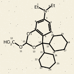 CCN(CC)c1ccc2c(c1)OC(OC(=O)O)OC2(C1CCCCC1)C1CCCCC1